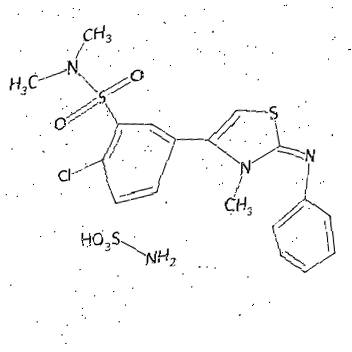 CN(C)S(=O)(=O)c1cc(-c2csc(=Nc3ccccc3)n2C)ccc1Cl.NS(=O)(=O)O